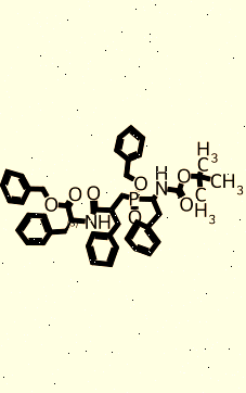 CC(C)(C)OC(=O)NC(Cc1ccccc1)P(=O)(CC(Cc1ccccc1)C(=O)N[C@@H](Cc1ccccc1)C(=O)OCc1ccccc1)OCc1ccccc1